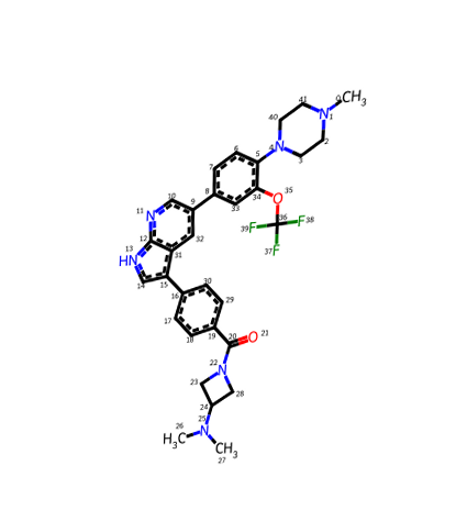 CN1CCN(c2ccc(-c3cnc4[nH]cc(-c5ccc(C(=O)N6CC(N(C)C)C6)cc5)c4c3)cc2OC(F)(F)F)CC1